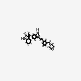 O=C1Nc2ccccc2[C@]12C[C@H]2c1ccc2c(C=Cc3cccc(CN4CCOCC4)c3)n[nH]c2c1